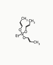 CC=CO[Si](CC)(OC=CC)OC=CC